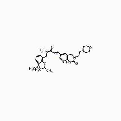 COc1cccc(CN(C)C(=O)/C=C/c2cnc3c(c2)CN(CCN2CCOCC2)C(=O)N3)c1OC(C)C